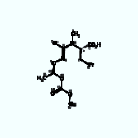 CC(C)C[C@@H](C(=O)O)N(C)/[N+]([O-])=N/OC(C)OC(=O)OC(C)(C)C